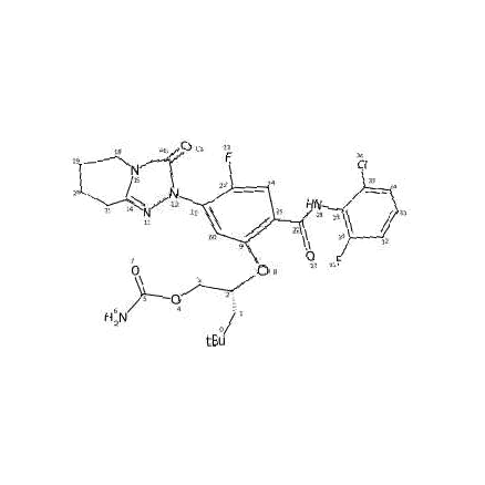 CC(C)(C)C[C@H](COC(N)=O)Oc1cc(-n2nc3n(c2=O)CCCC3)c(F)cc1C(=O)Nc1c(F)cccc1Cl